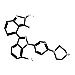 Cc1cccc2c(-c3cccc4nn(C)c(F)c34)nn(-c3ccc(N4CCNCC4)nc3)c12